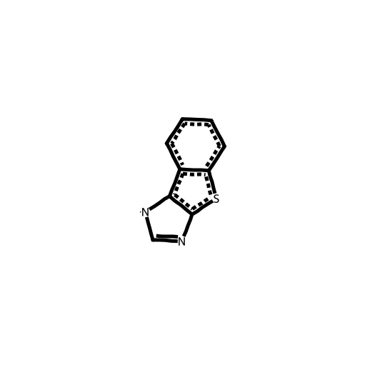 C1=Nc2sc3ccccc3c2[N]1